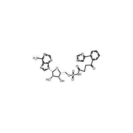 Nc1ncnc2c1ncn2[C@@H]1O[C@H](COS(=O)(=O)NC(=O)CCC(=O)c2ccccc2-c2cnco2)[C@@H](O)[C@H]1O